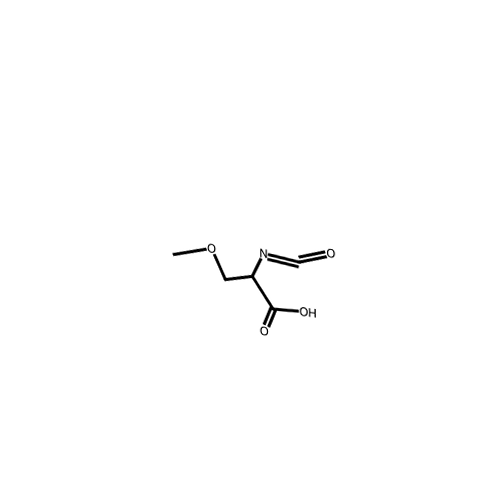 COCC(N=C=O)C(=O)O